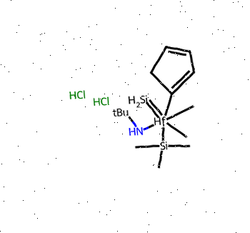 CC(C)(C)[NH][Hf]([CH3])([CH3])(=[SiH2])([C]1=CC=CC1)[Si](C)(C)C.Cl.Cl